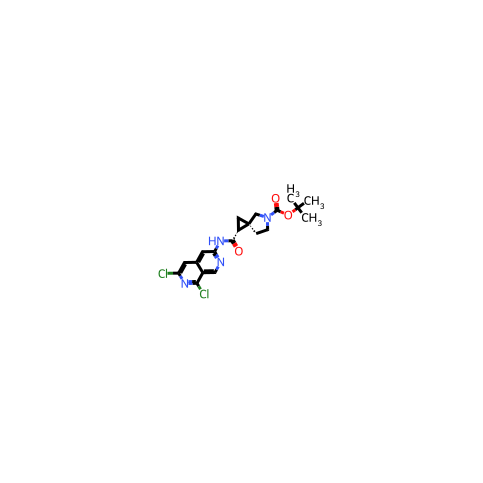 CC(C)(C)OC(=O)N1CC[C@]2(C[C@H]2C(=O)Nc2cc3cc(Cl)nc(Cl)c3cn2)C1